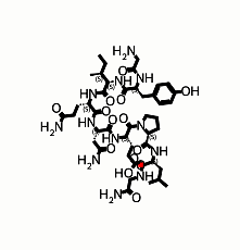 CC[C@H](C)[C@H](NC(=O)[C@H](Cc1ccc(O)cc1)NC(=O)CN)C(=O)N[C@@H](CCC(N)=O)C(=O)N[C@@H](CC(N)=O)C(=O)N[C@@H](CCC(=O)O)C(=O)N1CCC[C@H]1C(=O)N[C@@H](CC(C)C)C(=O)NCC(N)=O